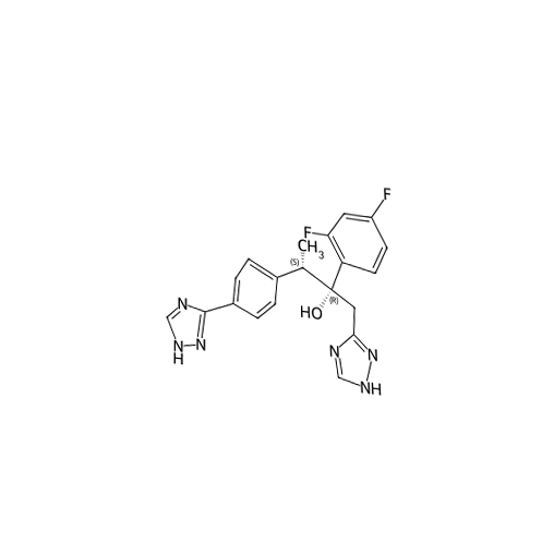 C[C@@H](c1ccc(-c2nc[nH]n2)cc1)[C@](O)(Cc1nc[nH]n1)c1ccc(F)cc1F